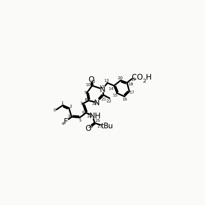 C\C=C/C(F)=C\C(=C\c1cc(=O)n(Cc2cccc(C(=O)O)c2)c(C)n1)NC(=O)C(C)(C)C